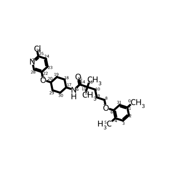 Cc1ccc(C)c(OCCCC(C)(C)C(=O)NC2CCC(Oc3ccc(Cl)nc3)CC2)c1